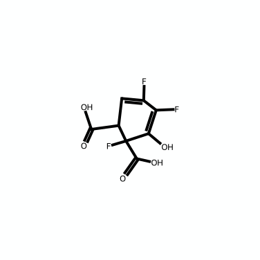 O=C(O)C1C=C(F)C(F)=C(O)C1(F)C(=O)O